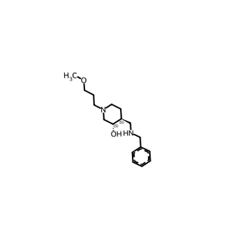 COCCCN1CC[C@@H](CNCc2ccccc2)[C@H](O)C1